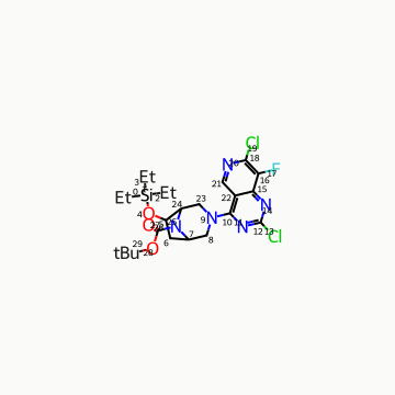 CC[Si](CC)(CC)OC1CC2CN(c3nc(Cl)nc4c(F)c(Cl)ncc34)CC1N2C(=O)OC(C)(C)C